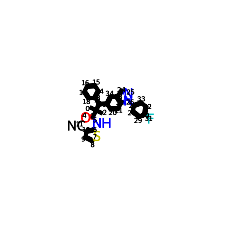 CC(C)(C(=O)Nc1sccc1C#N)C(c1ccccc1)c1ccc2c(cnn2-c2ccc(F)cc2)c1